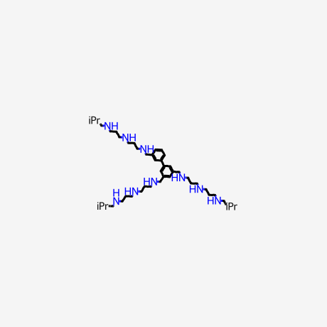 CC(C)CNCCCNCCCNCc1cccc(-c2cc(CNCCCNCCCNCC(C)C)cc(CNCCCNCCCNCC(C)C)c2)c1